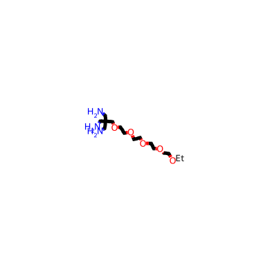 CCOCCOCCOCCOCCOCC(CN)(CN)CN